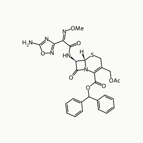 CO/N=C(\C(=O)N[C@@H]1C(=O)N2C(C(=O)OC(c3ccccc3)c3ccccc3)=C(COC(C)=O)CS[C@@H]12)c1noc(N)n1